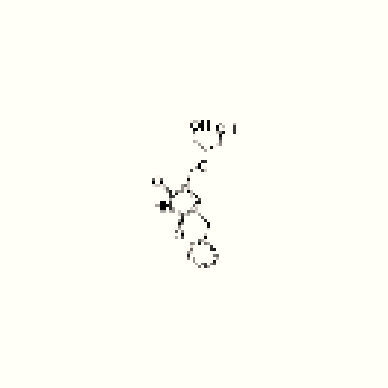 O=c1[nH]c(=O)n(COC(CO)CO)cc1Cc1ccccc1